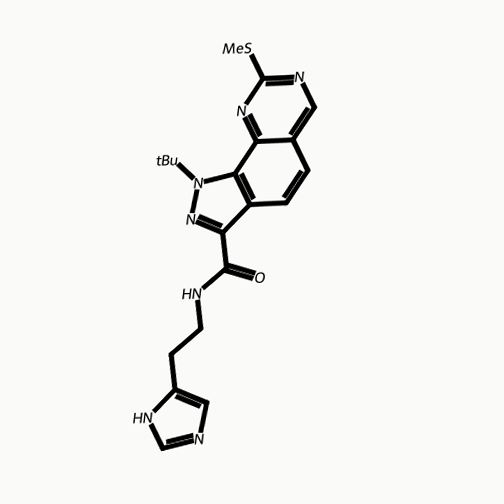 CSc1ncc2ccc3c(C(=O)NCCc4cnc[nH]4)nn(C(C)(C)C)c3c2n1